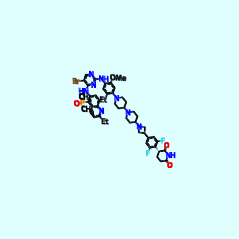 CCc1ccc2c(P(C)(C)=O)c(Nc3nc(Nc4cc(CC)c(N5CCC(N6CCC(N7CC(c8cc(F)c([C@H]9CCC(=O)NC9=O)c(F)c8)C7)CC6)CC5)cc4OC)ncc3Br)ccc2n1